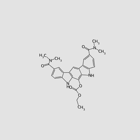 CCOC(=O)Oc1c2[nH]c3ccc(C(=O)N(C)C)cc3c2cc2c1[nH]c1ccc(C(=O)N(C)C)cc12